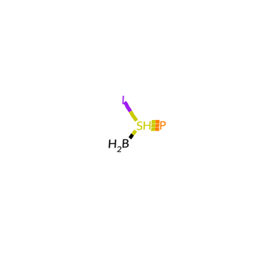 B[SH](#P)I